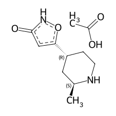 CC(=O)O.C[C@H]1C[C@H](c2cc(=O)[nH]o2)CCN1